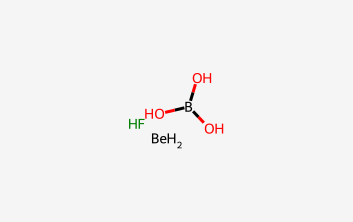 F.OB(O)O.[BeH2]